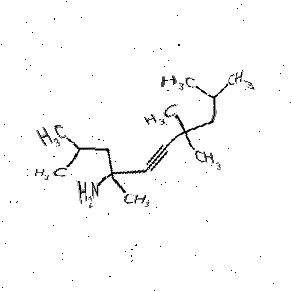 CC(C)CC(C)(C)C#CC(C)(N)CC(C)C